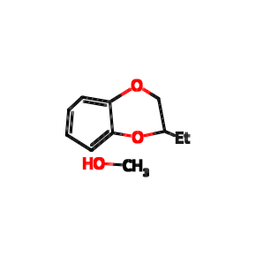 CCC1COc2ccccc2O1.CO